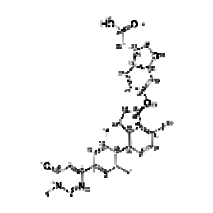 Cc1cc(-c2cc(=O)n(C)cn2)cc(C)c1-c1ccc(F)c2c1CC[C@H]2Oc1ccc2c(c1)OC[C@H]2CC(=O)O